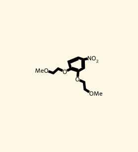 COCCOc1ccc([N+](=O)[O-])cc1OCCOC